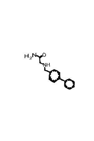 NC(=O)CNCc1ccc(-c2ccccc2)cc1